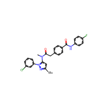 CN(C(=O)Cc1ccc(C(=O)Nc2ccc(F)cc2)cc1)c1cc(C(C)(C)C)nn1-c1cccc(Cl)c1